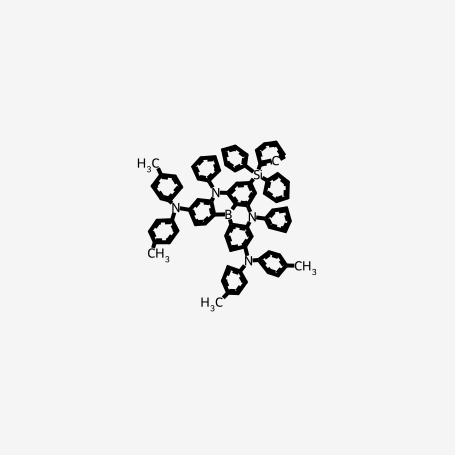 Cc1ccc(N(c2ccc(C)cc2)c2ccc3c(c2)N(c2ccccc2)c2cc([Si](c4ccccc4)(c4ccccc4)c4ccccc4)cc4c2B3c2ccc(N(c3ccc(C)cc3)c3ccc(C)cc3)cc2N4c2ccccc2)cc1